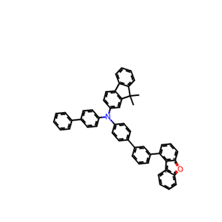 CC1(C)c2ccccc2-c2ccc(N(c3ccc(-c4ccccc4)cc3)c3ccc(-c4cccc(-c5cccc6oc7ccccc7c56)c4)cc3)cc21